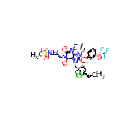 C=C(/C=C\C(Cl)=C/C)Cn1c(Oc2cccc(OC(F)(F)F)c2)nc2c1c(=O)n(CCCNS(C)(=O)=O)c(=O)n2C